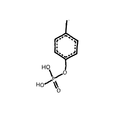 [CH2]c1ccc(OP(=O)(O)O)cc1